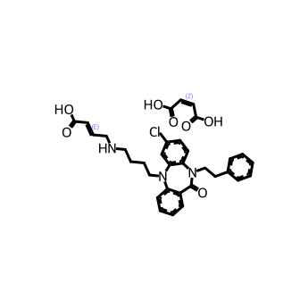 O=C(O)/C=C/CNCCCCN1c2ccccc2C(=O)N(CCc2ccccc2)c2ccc(Cl)cc21.O=C(O)/C=C\C(=O)O